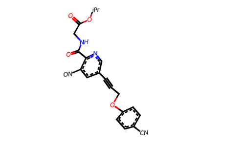 CC(C)OC(=O)CNC(=O)c1ncc(C#CCOc2ccc(C#N)cc2)cc1N=O